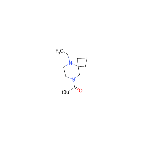 CC(C)(C)C(=O)N1CCN(CC(F)(F)F)C2(CCC2)C1